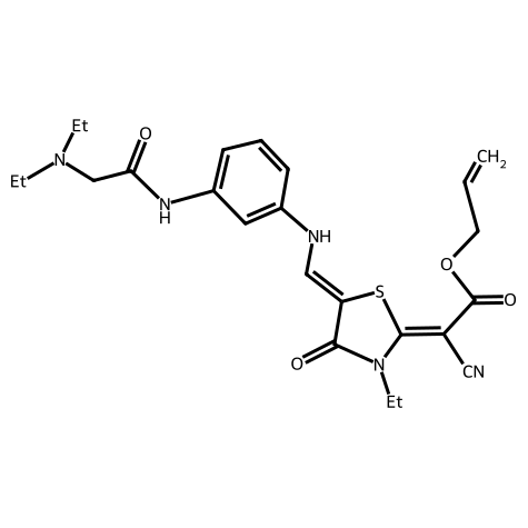 C=CCOC(=O)C(C#N)=c1sc(=CNc2cccc(NC(=O)CN(CC)CC)c2)c(=O)n1CC